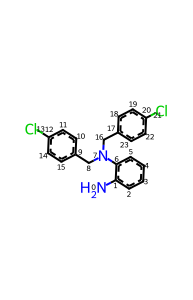 Nc1ccccc1N(Cc1ccc(Cl)cc1)Cc1ccc(Cl)cc1